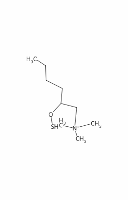 CCCCC(C[N+](C)(C)C)OS